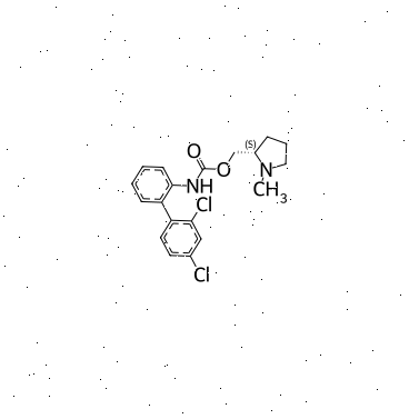 CN1CCC[C@H]1COC(=O)Nc1ccccc1-c1ccc(Cl)cc1Cl